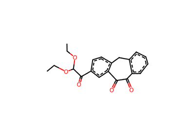 CCOC(OCC)C(=O)c1ccc2c(c1)C(=O)C(=O)c1ccccc1C2